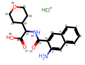 Cl.Nc1cc2ccccc2cc1C(=O)NC(C(=O)O)C1CCOCC1